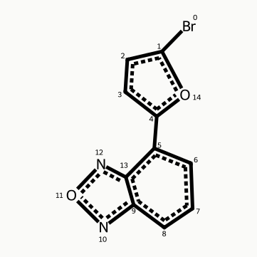 Brc1ccc(-c2cccc3nonc23)o1